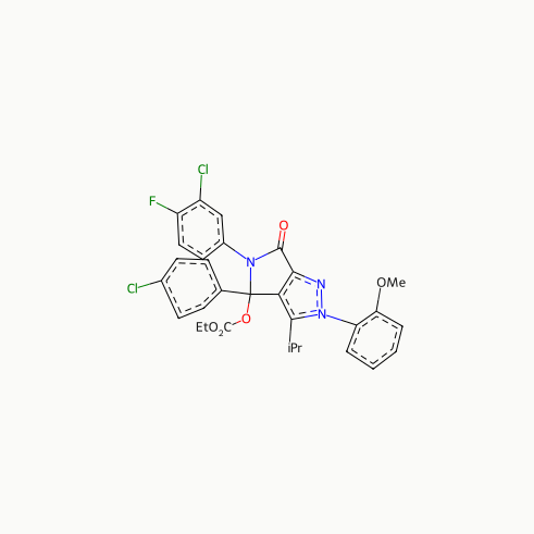 CCOC(=O)OC1(c2ccc(Cl)cc2)c2c(nn(-c3ccccc3OC)c2C(C)C)C(=O)N1c1ccc(F)c(Cl)c1